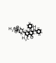 Cc1cc(N2CCN(S(C)(=O)=O)CC2)nc2c1c(=O)cc(Nc1ccccc1)n2-c1ccccc1